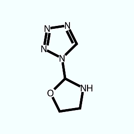 c1nnnn1C1NCCO1